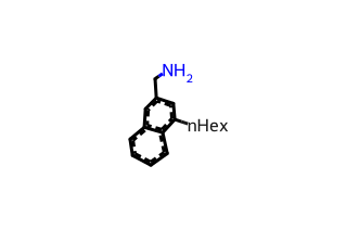 CCCCCCc1cc(CN)cc2ccccc12